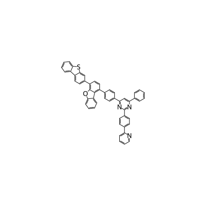 c1ccc(-c2cc(-c3ccc(-c4ccc(-c5ccc6c(c5)sc5ccccc56)c5oc6ccccc6c45)cc3)nc(-c3ccc(-c4ccccn4)cc3)n2)cc1